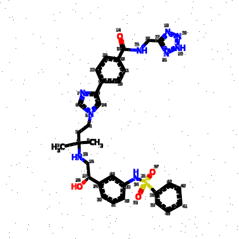 CC(C)(CCn1cnc(-c2ccc(C(=O)NCc3nn[nH]n3)cc2)c1)NC[C@H](O)c1cccc(NS(=O)(=O)c2ccccc2)c1